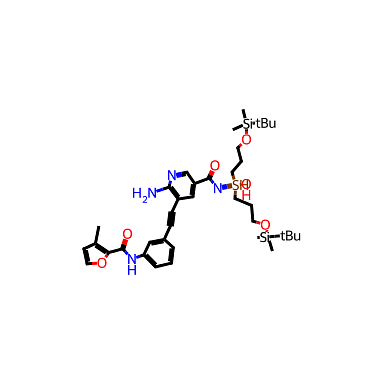 Cc1ccoc1C(=O)Nc1cccc(C#Cc2cc(C(=O)N=[SH](O)(CCCO[Si](C)(C)C(C)(C)C)CCCO[Si](C)(C)C(C)(C)C)cnc2N)c1